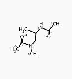 CC(=O)NC(C)CN(C)C(C)=O